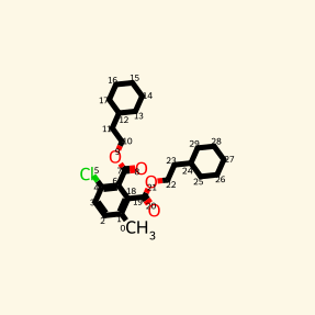 Cc1ccc(Cl)c(C(=O)OCCC2CCCCC2)c1C(=O)OCCC1CCCCC1